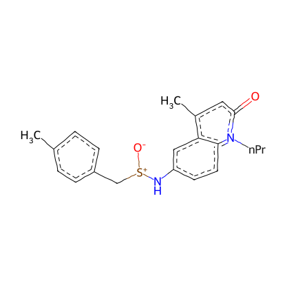 CCCn1c(=O)cc(C)c2cc(N[S+]([O-])Cc3ccc(C)cc3)ccc21